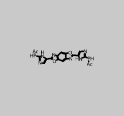 CC(=O)Pc1ncc(-c2nc3cc4oc(-c5cnc(PC(C)=O)[nH]5)nc4cc3o2)[nH]1